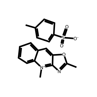 Cc1ccc(S(=O)(=O)[O-])cc1.Cc1nc2c(cc3ccccc3[n+]2C)o1